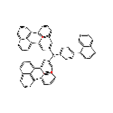 c1ccc(-c2cccc3cccc(-c4cccc(N(c5ccc(-c6cccc7ccccc67)cc5)c5cccc(-c6cccc7cccc(-c8ccccc8)c67)c5)c4)c23)cc1